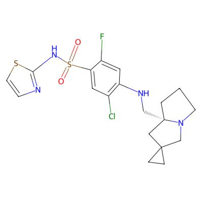 O=S(=O)(Nc1nccs1)c1cc(Cl)c(NC[C@]23CCCN2CC2(CC2)C3)cc1F